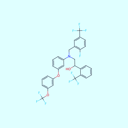 OC(CN(Cc1cc(C(F)(F)F)ccc1F)c1cccc(Oc2cccc(OC(F)(F)F)c2)c1)c1ccccc1C(F)(F)F